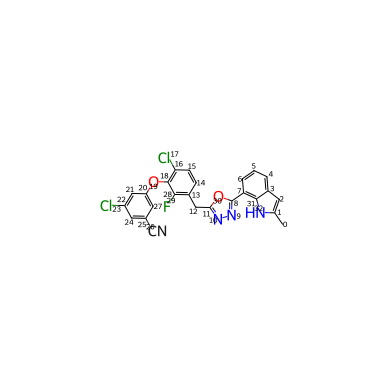 Cc1cc2cccc(-c3nnc(Cc4ccc(Cl)c(Oc5cc(Cl)cc(C#N)c5)c4F)o3)c2[nH]1